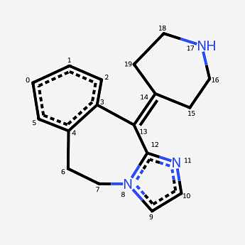 c1ccc2c(c1)CCn1ccnc1C2=C1CCNCC1